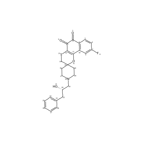 O=C1C(=O)c2ccc(F)cc2C2=C1SCC1(CCN(C[C@@H](O)Cc3ccccc3)CC1)O2